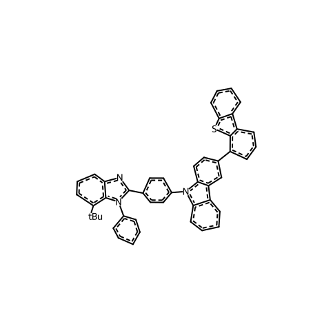 CC(C)(C)c1cccc2nc(-c3ccc(-n4c5ccccc5c5cc(-c6cccc7c6sc6ccccc67)ccc54)cc3)n(-c3ccccc3)c12